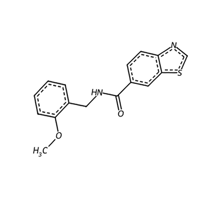 COc1ccccc1CNC(=O)c1ccc2ncsc2c1